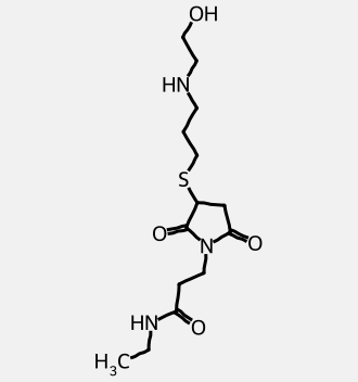 CCNC(=O)CCN1C(=O)CC(SCCCNCCO)C1=O